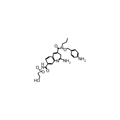 CCCN(OCc1ccc(N)cc1)C(=O)C1=Cc2ccc(C(=O)NS(=O)(=O)CCO)cc2N=C(N)C1